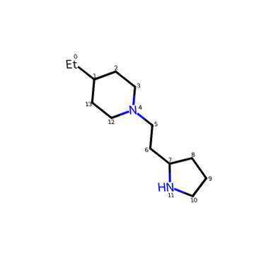 [CH2]CC1CCN(CCC2CCCN2)CC1